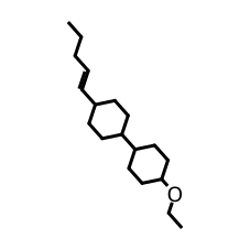 CCC/C=C/C1CCC(C2CCC(OCC)CC2)CC1